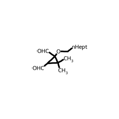 CCCCCCCCOC1([C]=O)C([C]=O)C1(C)C